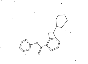 O=C(Oc1ccccc1)c1cccc2c1CC2C1CCCCC1